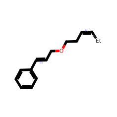 CC/C=C\CCOC/C=C/c1ccccc1